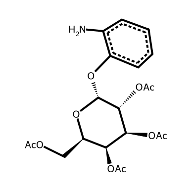 CC(=O)OC[C@H]1O[C@H](Oc2ccccc2N)[C@H](OC(C)=O)[C@@H](OC(C)=O)[C@H]1OC(C)=O